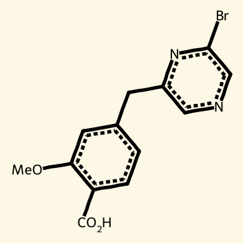 COc1cc(Cc2cncc(Br)n2)ccc1C(=O)O